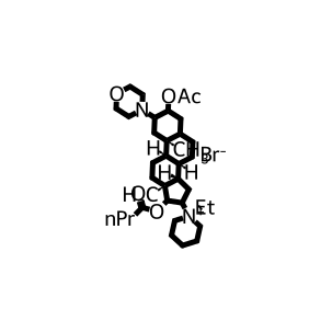 CCCC(=O)OC1C([N+]2(CC)CCCCC2)C[C@H]2[C@@H]3CCC4CC(OC(C)=O)C(N5CCOCC5)C[C@]4(C)[C@@H]3CC[C@]12C.[Br-]